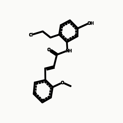 COc1ccccc1C=CC(=O)Nc1cc(O)ccc1CCCl